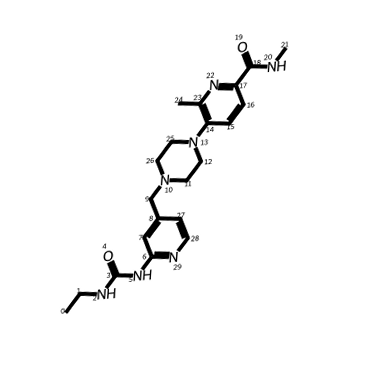 CCNC(=O)Nc1cc(CN2CCN(c3ccc(C(=O)NC)nc3C)CC2)ccn1